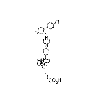 CC1(C)CCC(c2ccc(Cl)cc2)=C(CN2CCN(c3ccc(C(=O)NS(=O)(=O)CCCCCC(=O)O)cc3)CC2)C1